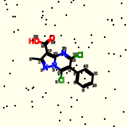 Cc1nn2c(Cl)c(-c3ccccc3)c(Cl)nc2c1C(=O)O